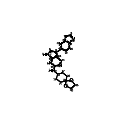 c1cc2nc(-c3c[nH]c4nc(NC5CCC6(CC5)OCCO6)ncc34)ccn2n1